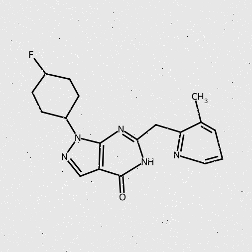 Cc1cccnc1Cc1nc2c(cnn2C2CCC(F)CC2)c(=O)[nH]1